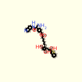 NCC(C(=O)Nc1ccc2cnccc2c1)c1ccc(COC(=O)CCCCCC[C@@H]2[C@@H](CC[C@@H](O)c3cc4ccccc4s3)[C@H](O)C[C@H]2O)cc1